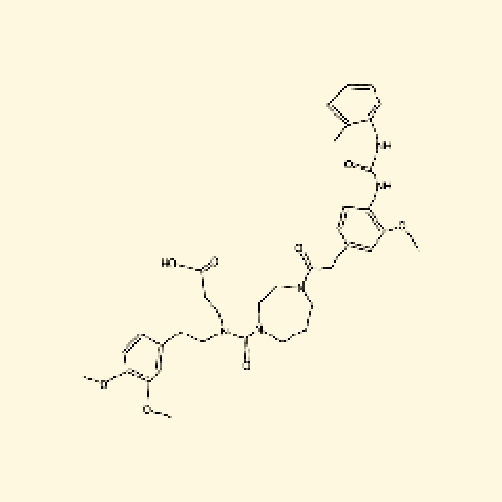 COc1cc(CC(=O)N2CCCN(C(=O)N(CCC(=O)O)CCc3ccc(OC)c(OC)c3)CC2)ccc1NC(=O)Nc1ccccc1C